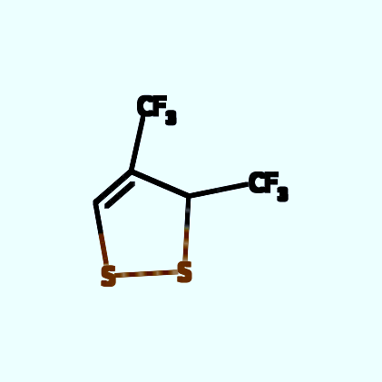 FC(F)(F)C1=CSSC1C(F)(F)F